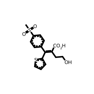 CS(=O)(=O)c1ccc(/C(=C(/CCO)C(=O)O)c2cccs2)cc1